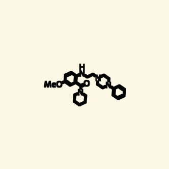 COc1ccc(NCCN2CCN(c3ccccc3)CC2)c(C(=O)N2CCCCC2)c1